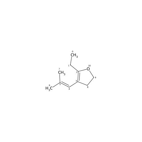 CCC1=C(C=C(C)C)CCO1